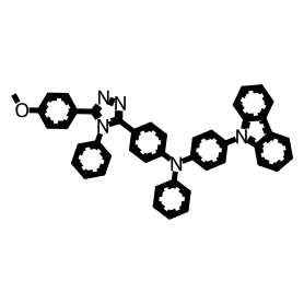 COc1ccc(-c2nnc(-c3ccc(N(c4ccccc4)c4ccc(-n5c6ccccc6c6ccccc65)cc4)cc3)n2-c2ccccc2)cc1